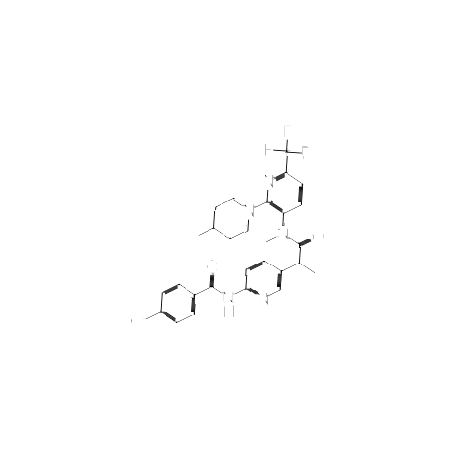 CC1CCN(c2nc(C(F)(F)F)ccc2N(C)C(=O)C(C)c2ccc(NC(=O)c3ccc(Cl)cc3)nc2)CC1